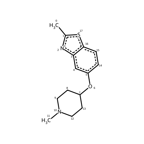 Cc1nc2cc(OC3CCN(C)CC3)ccc2s1